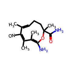 CC1=C\CCC(C)(C(N)=O)O/C(N)=C(C)/C(C)=C\1N=O